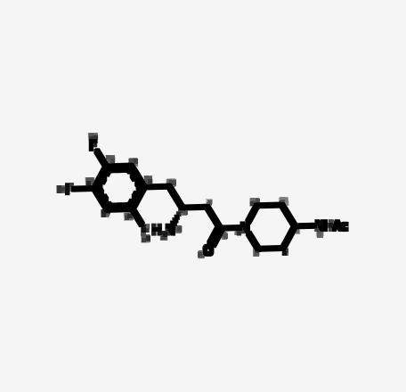 CC(=O)NC1CCN(C(=O)C[C@H](N)Cc2cc(F)c(F)cc2F)CC1